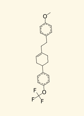 COc1ccc(CCC2=CCC(c3ccc(OC(F)(F)F)cc3)CC2)cc1